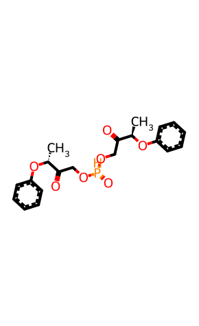 C[C@@H](Oc1ccccc1)C(=O)CO[PH](=O)OCC(=O)[C@@H](C)Oc1ccccc1